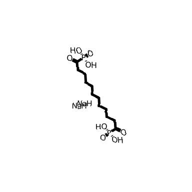 O=C(CCCCCCCCCCC(=O)P(=O)(O)O)P(=O)(O)O.[NaH].[NaH]